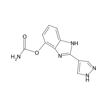 NC(=O)Oc1cccc2[nH]c(-c3cn[nH]c3)nc12